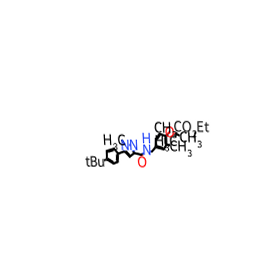 CCOC(=O)C(C)(C)Oc1c(C)cc(CNC(=O)c2cc(-c3ccc(C(C)(C)C)cc3)n(C)n2)cc1C